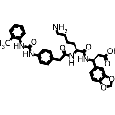 Cc1ccccc1NC(=O)Nc1ccc(CC(=O)N[C@@H](CCCCN)C(=O)N[C@@H](CC(=O)O)c2ccc3c(c2)OCO3)cc1